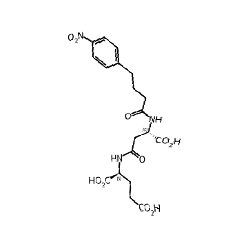 O=C(O)CC[C@H](NC(=O)C[C@H](NC(=O)CCCc1ccc([N+](=O)[O-])cc1)C(=O)O)C(=O)O